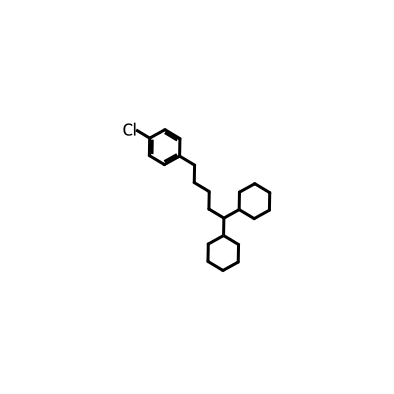 Clc1ccc(CCCCC(C2CCCCC2)C2CCCCC2)cc1